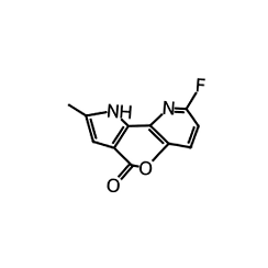 Cc1cc2c(=O)oc3ccc(F)nc3c2[nH]1